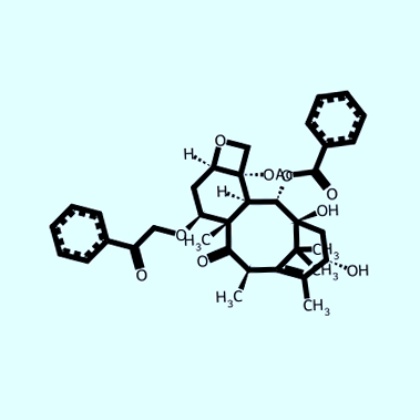 CC(=O)O[C@@]12CO[C@@H]1C[C@H](OCC(=O)c1ccccc1)[C@@]1(C)C(=O)[C@H](C)C3=C(C)[C@@H](O)C[C@@](O)([C@@H](OC(=O)c4ccccc4)[C@H]21)C3(C)C